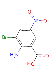 Nc1c(Br)cc([N+](=O)[O-])cc1C(=O)O